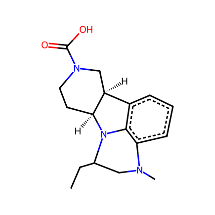 CCC1CN(C)c2cccc3c2N1[C@H]1CCN(C(=O)O)C[C@@H]31